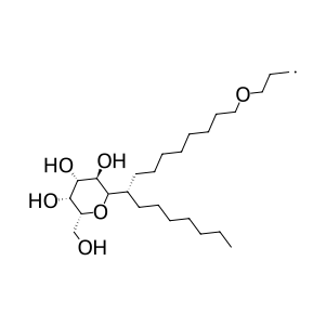 [CH2]CCOCCCCCCCC[C@H](CCCCCCC)C1O[C@H](CO)[C@H](O)[C@H](O)[C@H]1O